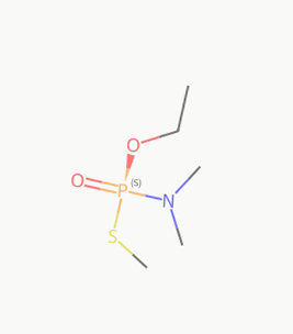 CCO[P@](=O)(SC)N(C)C